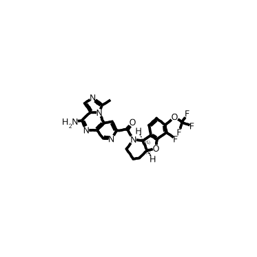 Cc1ncc2c(N)nc3cnc(C(=O)N4CCC[C@@H]5Oc6c(ccc(OC(F)(F)F)c6F)[C@@H]54)cc3n12